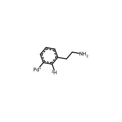 [2H]c1[c]([Pd+])cccc1CCN